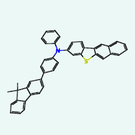 CC1(C)c2ccccc2-c2ccc(-c3ccc(N(c4ccccc4)c4ccc5c(c4)sc4cc6ccccc6cc45)cc3)cc21